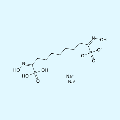 O=P([O-])([O-])C(CCCCCCCC(=NO)P(=O)(O)O)=NO.[Na+].[Na+]